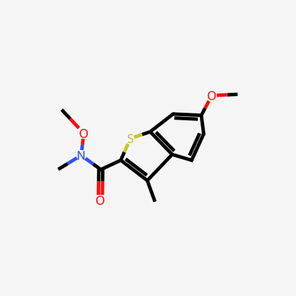 COc1ccc2c(C)c(C(=O)N(C)OC)sc2c1